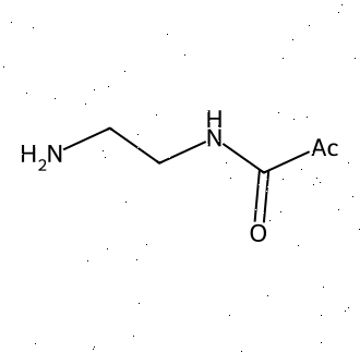 CC(=O)C(=O)NCCN